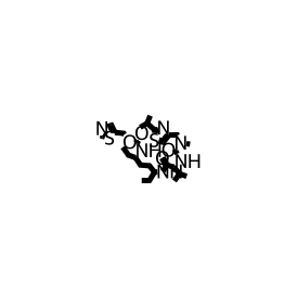 CCC(CCC(CC)NC(=O)C(NC(=O)N(C)Cc1csc(C(C)C)n1)C(C)C)NC(=O)OCc1cncs1